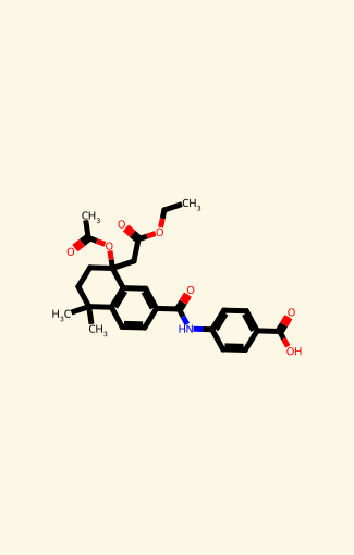 CCOC(=O)CC1(OC(C)=O)CCC(C)(C)c2ccc(C(=O)Nc3ccc(C(=O)O)cc3)cc21